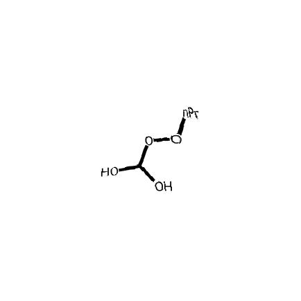 CCCOOC(O)O